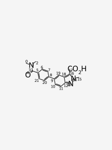 CN(C)C(=O)c1ccc(-c2ccc3nn(C)c(C(=O)O)c3c2)cc1